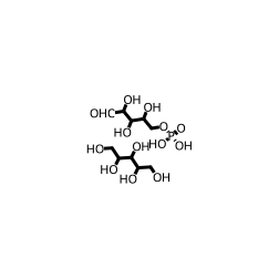 O=CC(O)C(O)C(O)COP(=O)(O)O.OCC(O)C(O)C(O)CO